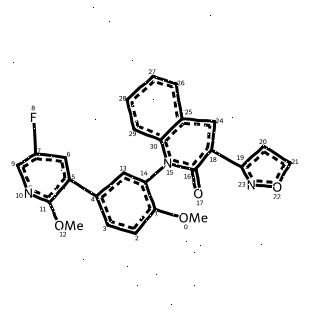 COc1ccc(-c2cc(F)cnc2OC)cc1-n1c(=O)c(-c2ccon2)cc2ccccc21